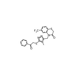 Cn1c(CN2C(=O)CSc3ccc(C(F)(F)F)cc32)nnc1SCC(=O)c1ccccc1